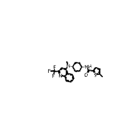 Cc1ccc(C(=O)N[C@H]2CC[C@@H](N(C)c3cc(C(F)(F)F)nc4ccccc34)CC2)s1